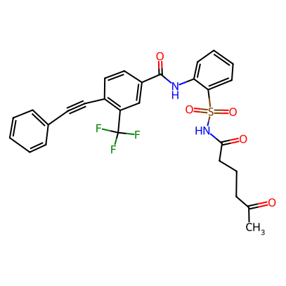 CC(=O)CCCC(=O)NS(=O)(=O)c1ccccc1NC(=O)c1ccc(C#Cc2ccccc2)c(C(F)(F)F)c1